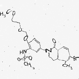 COCCOCOc1ccc(N2CCc3c(ccc(Br)c3C)C2=O)cc1NS(C)(=O)=O